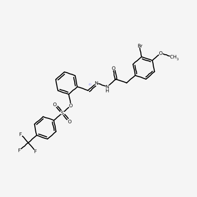 COc1ccc(CC(=O)N/N=C/c2ccccc2OS(=O)(=O)c2ccc(C(F)(F)F)cc2)cc1Br